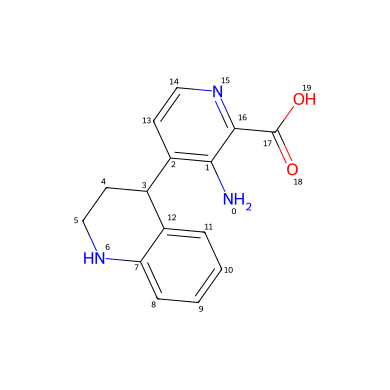 Nc1c(C2CCNc3ccccc32)ccnc1C(=O)O